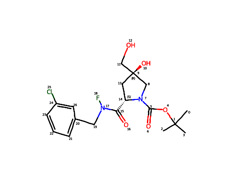 CC(C)(C)OC(=O)N1C[C@@](O)(CO)C[C@H]1C(=O)N(F)Cc1cccc(Cl)c1